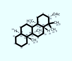 CC(=O)O[C@H]1CC[C@]2(C)C3CC[C@@H]4CCCC[C@@]4(C)[C@]3(C)CC[C@H]2C1(C)C